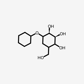 OCC1CC(OC2CCCCC2)[C@@H](O)[C@@H](O)C1O